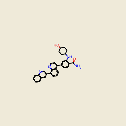 NC(=O)c1ccc(-c2ccnc3c(-c4cnc5ccccc5c4)cccc23)cc1NC1CCC(O)CC1